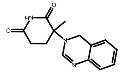 CC1(N2C=Nc3ccccc3C2)CCC(=O)NC1=O